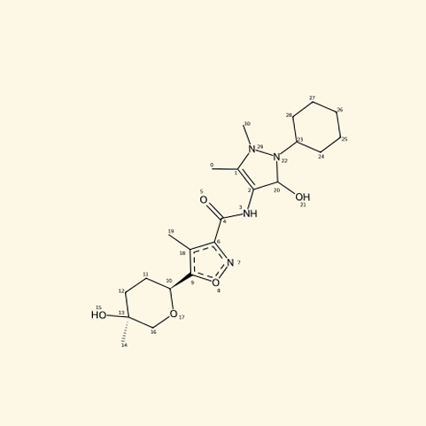 CC1=C(NC(=O)c2noc([C@@H]3CC[C@](C)(O)CO3)c2C)C(O)N(C2CCCCC2)N1C